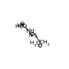 CC(C)(CCCCSc1ccc(CNCCCO[PH](=O)O)nc1)c1ccccc1